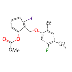 CCc1cc(C)c(F)cc1OCc1c(I)cccc1OC(=O)OC